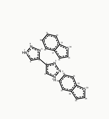 c1[nH]nnc1-c1c[nH]nn1.c1ccc2sccc2c1.c1ccc2sccc2c1